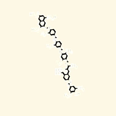 CC(/N=N/c1cc(C)c(N=Nc2ccc(N=Nc3ccc(N=Nc4cc5c(S(=O)(=O)O)cc(S(=O)(=O)O)cc5cc4S(=O)(=O)O)c(C)c3)c(C)c2)cc1C)=C(\C=c1\cc(N=Nc2cc(C)c(O)c(C)c2)cc\c1=C/O)S(=O)(=O)O